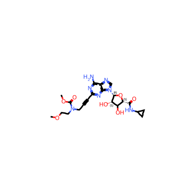 COCCN(CC#Cc1nc(N)c2ncn([C@@H]3O[C@H](C(=O)NC4CC4)C(O)[C@@H]3O)c2n1)C(=O)OC